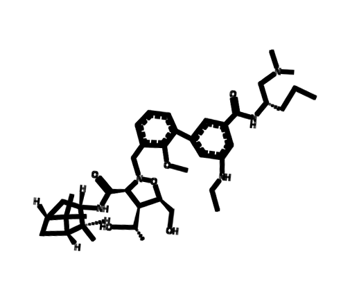 CCC[C@@H](CN(C)C)NC(=O)c1cc(NCC)cc(-c2cccc(CN3O[C@@H](CO)[C@@H]([C@H](C)O)[C@H]3C(=O)N[C@H]3C[C@H]4C[C@@H]([C@@H]3C)C4(C)C)c2OC)c1